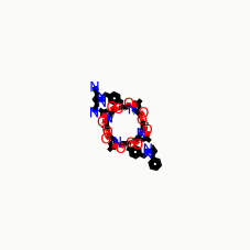 CC(C)C[C@H]1C(=O)O[C@H](Cc2ccc(Cn3nccc3-c3ccccc3)cc2)C(=O)N(C)[C@@H](CC(C)C)C(=O)O[C@H](C)C(=O)N(C)[C@@H](CC(C)C)C(=O)O[C@H](Cc2ccc(Cn3nc(C#N)cc3C#N)cc2)C(=O)N(C)[C@@H](CC(C)C)C(=O)O[C@H](C)C(=O)N1C